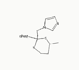 CCCCCC1(Cn2ccnc2)SCCC(C)S1